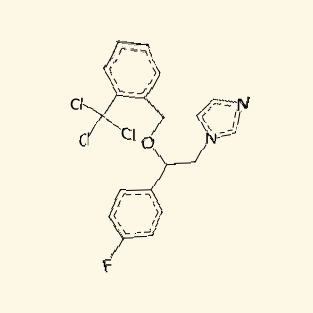 Fc1ccc(C(Cn2ccnc2)OCc2ccccc2C(Cl)(Cl)Cl)cc1